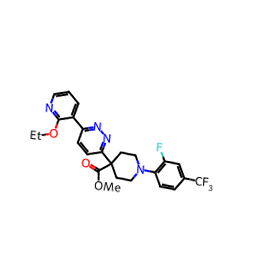 CCOc1ncccc1-c1ccc(C2(C(=O)OC)CCN(c3ccc(C(F)(F)F)cc3F)CC2)nn1